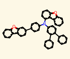 c1ccc(-c2ccc(N(c3ccc(-c4ccc5c(c4)oc4ccccc45)cc3)c3cccc4oc5ccccc5c34)cc2-c2ccccc2)cc1